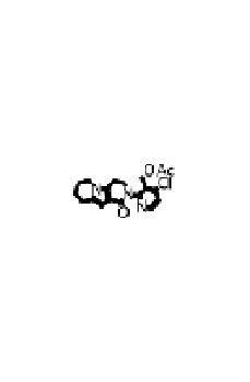 CC(=O)OCc1c(Cl)ccnc1N1CCc2c(cc3n2CCCC3)C1=O